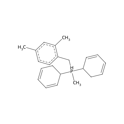 Cc1ccc(C[PH](C)(C2C=CC=CC2)C2C=CC=CC2)c(C)c1